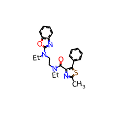 CCN(CCN(CC)c1nc2ccccc2o1)C(=O)c1nc(C)sc1-c1ccccc1